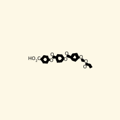 C=CC(=O)OCOc1ccc(C(=O)OC2CCC(C(=O)OC3CCC(C(=O)O)CC3)CC2)cc1